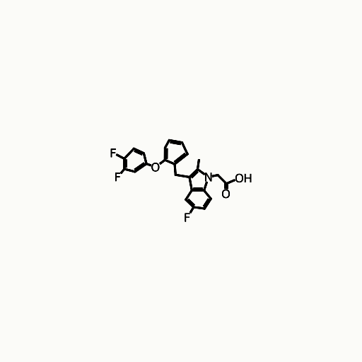 Cc1c(Cc2ccccc2Oc2ccc(F)c(F)c2)c2cc(F)ccc2n1CC(=O)O